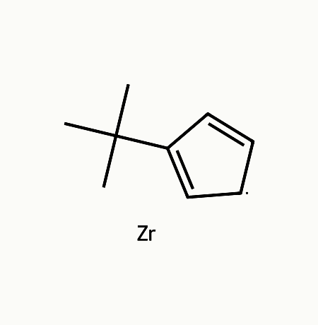 CC(C)(C)C1=C[CH]C=C1.[Zr]